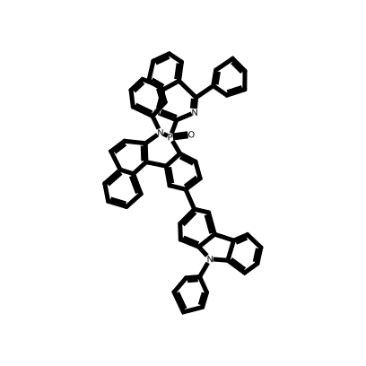 O=P1(c2nc(-c3ccccc3)c3ccccc3n2)c2ccc(-c3ccc4c(c3)c3ccccc3n4-c3ccccc3)cc2-c2c(ccc3ccccc23)N1c1ccccc1